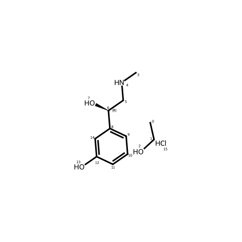 CCO.CNC[C@H](O)c1cccc(O)c1.Cl